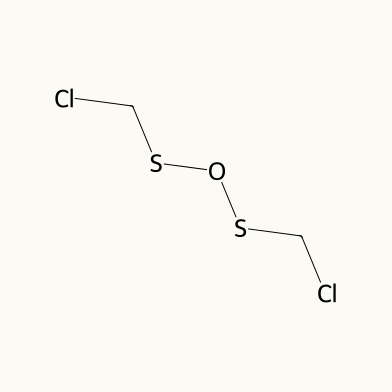 ClCSOSCCl